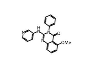 COc1cccc2nc(Nc3cccnc3)n(-c3ccccc3)c(=O)c12